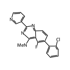 CNc1nc(-c2cccnc2)nc2ccc(-c3ccccc3Cl)c(F)c12